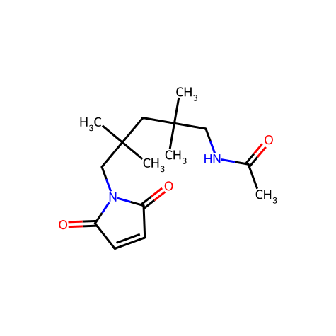 CC(=O)NCC(C)(C)CC(C)(C)CN1C(=O)C=CC1=O